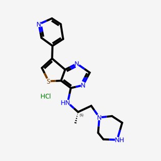 C[C@@H](CN1CCNCC1)Nc1ncnc2c(-c3cccnc3)csc12.Cl